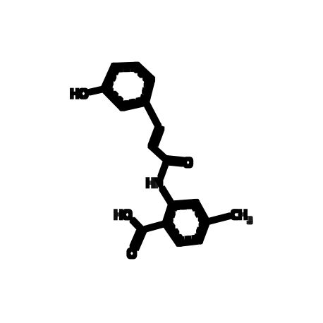 Cc1ccc(C(=O)O)c(NC(=O)/C=C/c2cccc(O)c2)c1